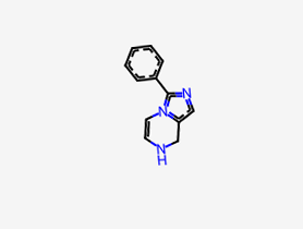 C1=Cn2c(cnc2-c2ccccc2)CN1